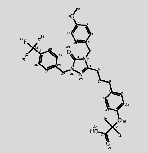 COc1ccc(Cn2c(CCCc3ccc(OC(C)(C)C(=O)O)cc3)nn(Cc3ccc(C(F)(F)F)cc3)c2=O)cc1